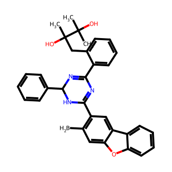 Bc1cc2oc3ccccc3c2cc1C1=NC(c2ccccc2CC(C)(O)C(C)(C)O)=NC(c2ccccc2)N1